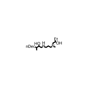 CCCCCCCCCCC(C)C(O)CNCCCN(C)CC(O)CC